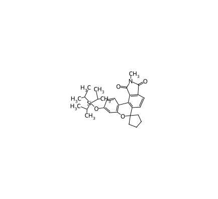 CC(C)[Si](Oc1ccc2c(c1)OC1(CCCC1)c1ccc3c(c1-2)C(=O)N(C)C3=O)(C(C)C)C(C)C